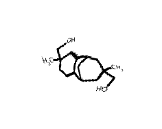 CC1(CO)CC2CC(C1)C1CC(C)(CO)CCC21